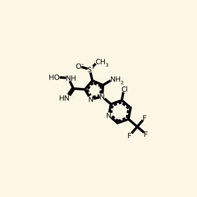 C[S+]([O-])c1c(C(=N)NO)nn(-c2ncc(C(F)(F)F)cc2Cl)c1N